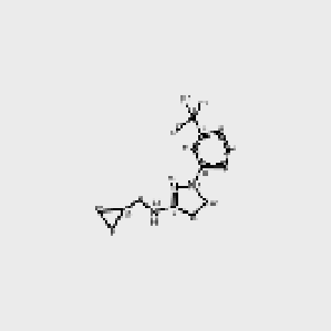 FC(F)(F)c1cccc(N2CCC(NCC3CC3)=N2)c1